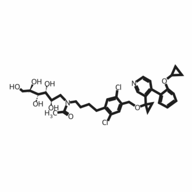 CC(=O)N(CCCCc1cc(Cl)c(COC2(c3cnccc3-c3ccccc3OC3CC3)CC2)cc1Cl)C[C@H](O)[C@@H](O)[C@H](O)[C@H](O)CO